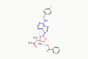 CC(=O)O[C@]1(C)[C@@H](COC(=O)c2ccccc2)O[C@H](n2cnc3c(NCc4ccc(F)cc4)ncnc32)[C@]1(C)F